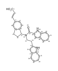 O=C(O)C=Cc1ccc2c(c1)CCC2N(CCc1cc2ccccc2[nH]1)C(=O)c1cc2ccccc2[nH]1